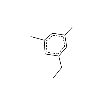 CCc1cc(I)cc(I)c1